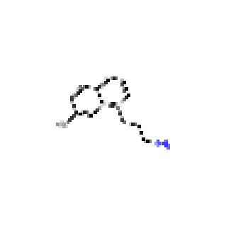 CCCCc1ccc2cccc(CCCN)c2c1